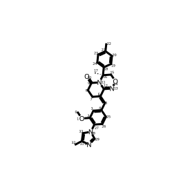 COc1cc(/C=C2\CCC(=O)N3C2=NOC[C@]3(C)c2ccc(C)cc2)ccc1-n1cnc(C)c1